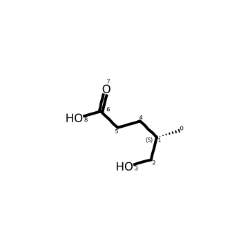 C[C@H](CO)CCC(=O)O